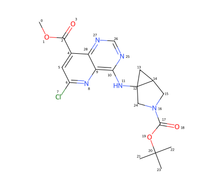 COC(=O)c1cc(Cl)nc2c(NC34CC3CN(C(=O)OC(C)(C)C)C4)ncnc12